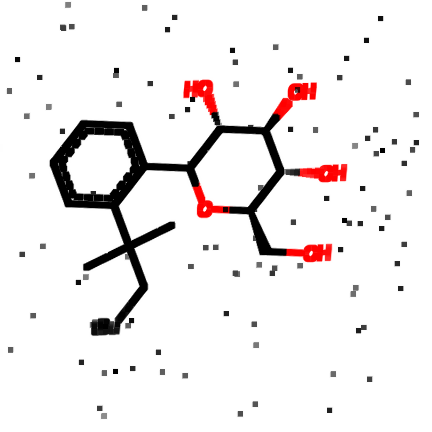 CC(C)(C)CC(C)(C)c1ccccc1[C]1O[C@H](CO)[C@@H](O)[C@H](O)[C@H]1O